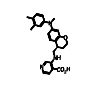 Cc1ccc(N(C)c2ccc3c(c2)OCC[C@H]3CNc2cnccc2C(=O)O)cc1C